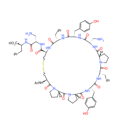 CC(=O)N[C@H]1CSSC[C@@H](C(=O)N[C@@H](CN)C(=O)N[C@@H](CC(C)C)C(=O)O)NC(=O)[C@H](CC(C)C)NC(=O)[C@H](Cc2ccc(O)cc2)NC(=O)[C@H](CN)NC(=O)[C@@H]2CCCN2C(=O)[C@H](CC(C)C)NC(=O)[C@H](Cc2ccc(O)cc2)NC(=O)[C@@H]2CCCN2C(=O)[C@@H]2CCCN2C1=O